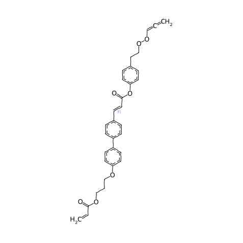 C=C=COOCCc1ccc(OC(=O)/C=C/c2ccc(-c3ccc(OCCCOC(=O)C=C)cc3)cc2)cc1